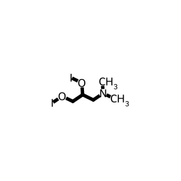 CN(C)CC(COI)OI